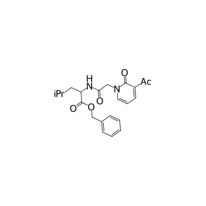 CC(=O)c1cccn(CC(=O)NC(CC(C)C)C(=O)OCc2ccccc2)c1=O